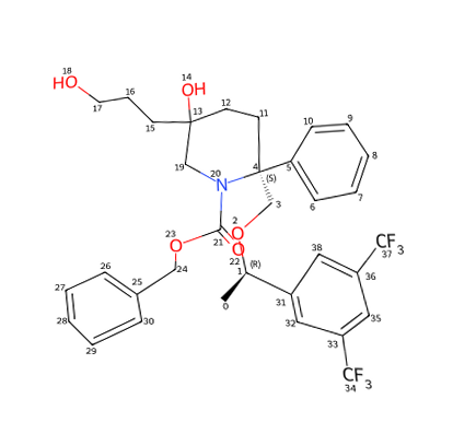 C[C@@H](OC[C@@]1(c2ccccc2)CCC(O)(CCCO)CN1C(=O)OCc1ccccc1)c1cc(C(F)(F)F)cc(C(F)(F)F)c1